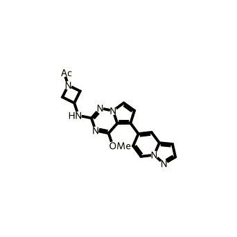 COc1nc(NC2CN(C(C)=O)C2)nn2ccc(-c3ccn4nccc4c3)c12